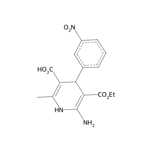 CCOC(=O)C1=C(N)NC(C)=C(C(=O)O)C1c1cccc([N+](=O)[O-])c1